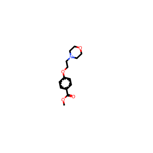 COC(=O)c1ccc(OCCN2CCOCC2)cc1